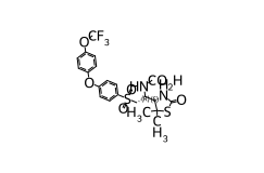 CC1(C)SC(=O)N[C@H]1[C@H](CS(=O)(=O)c1ccc(Oc2ccc(OC(F)(F)F)cc2)cc1)NC(=O)O